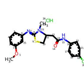 COc1cccc(/N=C2\SCC(CC(=O)Nc3ccc(Cl)cc3)N2C)c1.Cl